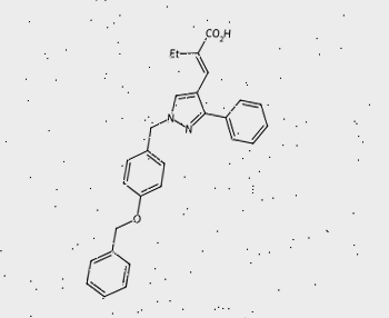 CCC(=Cc1cn(Cc2ccc(OCc3ccccc3)cc2)nc1-c1ccccc1)C(=O)O